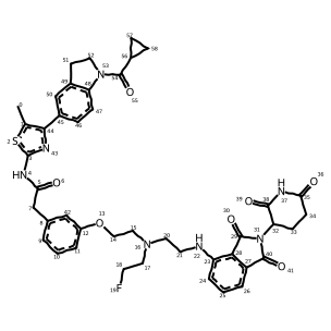 Cc1sc(NC(=O)Cc2cccc(OCCN(CCF)CCNc3cccc4c3C(=O)N(C3CCC(=O)NC3=O)C4=O)c2)nc1-c1ccc2c(c1)CCN2C(=O)C1CC1